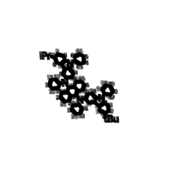 CC(C)c1ccc2c(c1)c1cc(N(c3ccccc3)c3c4ccccc4c(N(c4ccccc4)c4ccc5c(c4)c4cc(C(C)(C)C)ccc4n5-c4ccccc4)c4ccccc34)ccc1n2-c1ccccc1